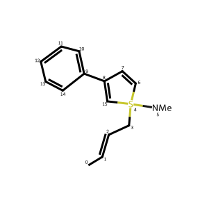 CC=CCS1(NC)C=CC(c2ccccc2)=C1